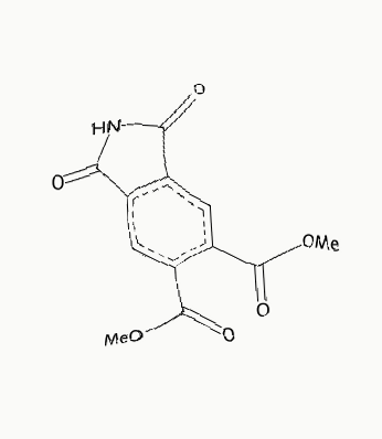 COC(=O)c1cc2c(cc1C(=O)OC)C(=O)NC2=O